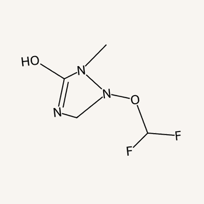 CN1C(O)=NCN1OC(F)F